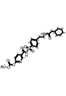 CC[C@@H](C)OC(=O)Oc1ccc(C(=O)NS(=O)(=O)c2ccc(CCNC(=O)CC3CCCCC3)cc2)cn1